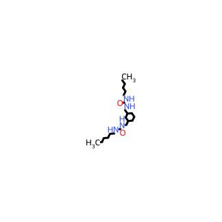 CCCCCCNC(=O)NCC1CCCC(CNC(=O)NCCCCCC)C1